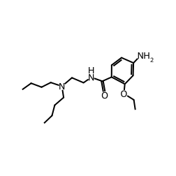 CCCCN(CCCC)CCNC(=O)c1ccc(N)cc1OCC